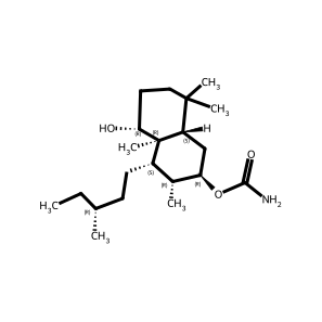 CC[C@@H](C)CC[C@H]1[C@@H](C)[C@H](OC(N)=O)C[C@H]2C(C)(C)CC[C@@H](O)[C@]12C